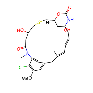 COc1cc2cc(c1Cl)N(C)C(=O)CC(O)CSC[C@@H]1C[C@](O)(C/C=C/C=C(\C)C2)NC(=O)O1